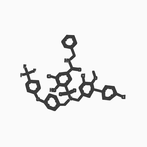 COc1c(Cl)cc(CN(Cc2ccc(Oc3ccc(C(F)(F)F)cc3)cc2)S(=O)(=O)c2cc(C(=O)NCc3ccccc3)cc(Cl)c2O)cc1-c1ccc(Cl)cc1